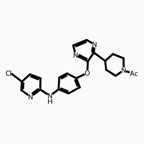 CC(=O)N1CCC(c2nccnc2Oc2ccc(Nc3ccc(Cl)cn3)cc2)CC1